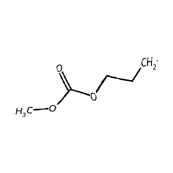 [CH2]CCOC(=O)OC